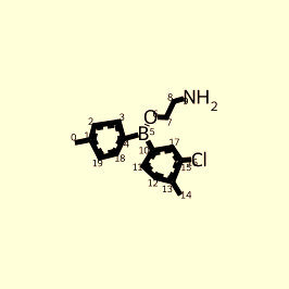 Cc1ccc(B(OCCN)c2ccc(C)c(Cl)c2)cc1